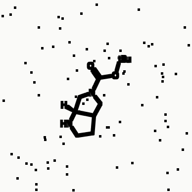 CC(C)(C)OC(=O)N1CC2CCN[C@@H]2C1